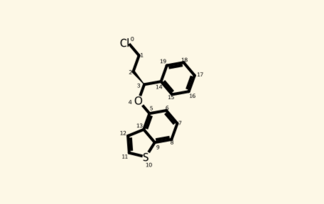 ClCC[C@H](Oc1cccc2sccc12)c1ccccc1